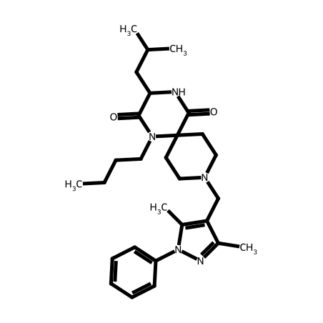 CCCCN1C(=O)C(CC(C)C)NC(=O)C12CCN(Cc1c(C)nn(-c3ccccc3)c1C)CC2